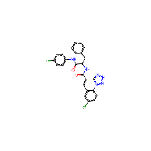 O=C(/C=C/c1cc(Cl)ccc1-n1cnnn1)NC(Cc1ccccc1)C(=O)Nc1ccc(F)cc1